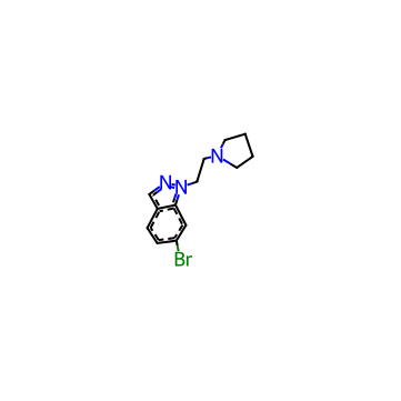 Brc1ccc2cnn(CCN3CCCC3)c2c1